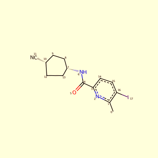 Cc1nc(C(=O)N[C@H]2CC[C@@H](C#N)CC2)ccc1I